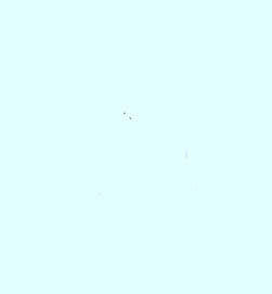 Cc1c(-c2ccccc2)nc2cccc(C3CC3)c2c1OC(=O)O